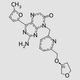 Cc1ccc(-c2nc(N)nc3c2ncc(=O)n3Cc2cccc(CO[C@H]3CCOC3)n2)o1